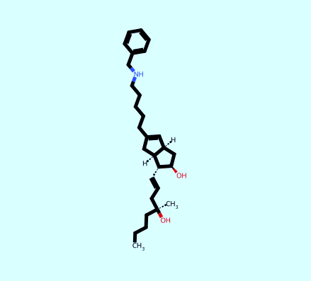 CCCC[C@](C)(O)C/C=C/[C@@H]1[C@H]2CC(CCCCCNCc3ccccc3)=C[C@H]2C[C@H]1O